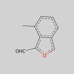 Cc1cccc2coc(C=O)c12